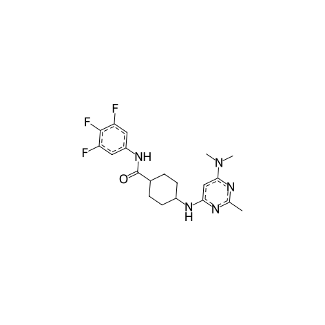 Cc1nc(NC2CCC(C(=O)Nc3cc(F)c(F)c(F)c3)CC2)cc(N(C)C)n1